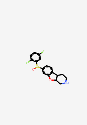 [O-][S+](c1ccc2c(c1)OC1CNCCC21)c1cc(F)ccc1F